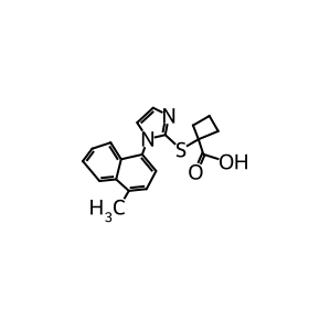 Cc1ccc(-n2ccnc2SC2(C(=O)O)CCC2)c2ccccc12